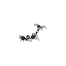 COc1ccc(-c2cnc3c(Nc4cc(C)c(C(=O)NCCOCCN5C[C@H](O)C[C@H]5C(N)=O)c(F)c4)nccn23)c(F)c1F